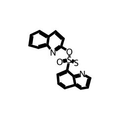 O=S(=S)(Oc1ccc2ccccc2n1)c1cccc2cccnc12